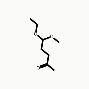 CCOC(CCC(C)=O)OC